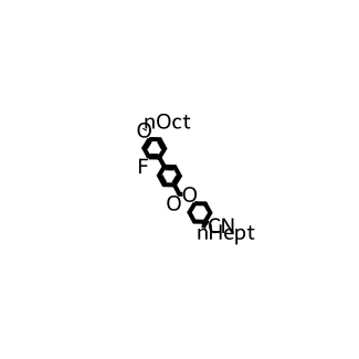 CCCCCCCCOc1ccc(-c2ccc(C(=O)OC3CCC(C#N)(CCCCCCC)CC3)cc2)c(F)c1